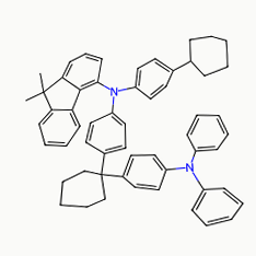 CC1(C)c2ccccc2-c2c(N(c3ccc(C4CCCCC4)cc3)c3ccc(C4(c5ccc(N(c6ccccc6)c6ccccc6)cc5)CCCCC4)cc3)cccc21